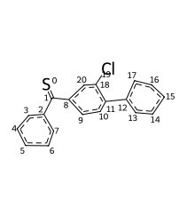 S=C(c1ccccc1)c1ccc(-c2ccccc2)c(Cl)c1